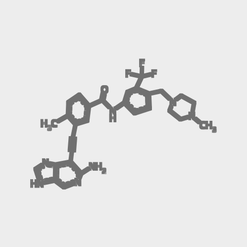 Cc1ccc(C(=O)Nc2ccc(CN3CCN(C)CC3)c(C(F)(F)F)c2)cc1C#Cc1c(N)ncc2[nH]cnc12